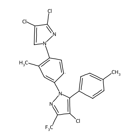 Cc1ccc(-c2c(Cl)c(C(F)(F)F)nn2-c2[c]cc(-n3cc(Cl)c(Cl)n3)c(C)c2)cc1